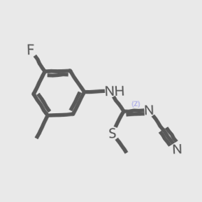 CS/C(=N\C#N)Nc1cc(C)cc(F)c1